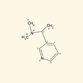 [CH2]C(c1cccnc1)N(C)C